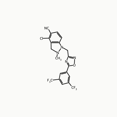 CN1Cc2c(ccc(C#N)c2Cl)N1Cc1noc(-c2cc(C(F)(F)F)cc(C(F)(F)F)c2)n1